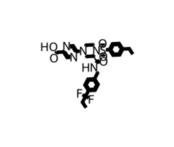 CCc1ccc(S(=O)(=O)N2CCN(c3cnc(C(=O)O)cn3)C[C@@H]2C(=O)NCc2ccc(C(F)(F)CC)cc2)cc1